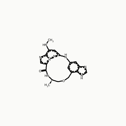 CNc1cc2nn3c(cnc13)C(=O)N[C@H](C)COCc1cc(cc3nc[nH]c13)N2